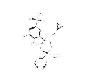 Cc1c(F)cc(S(C)(=O)=O)cc1[C@]1(OCC2CC2)CC[C@](C(=O)O)(c2ccccc2)CC1